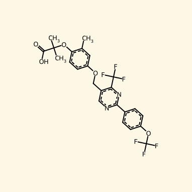 Cc1cc(OCc2cnc(-c3ccc(OC(F)(F)F)cc3)nc2C(F)(F)F)ccc1OC(C)(C)C(=O)O